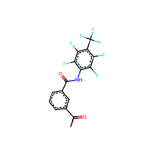 CC(=O)c1cccc(C(=O)Nc2c(F)c(F)c(C(F)(F)F)c(F)c2F)c1